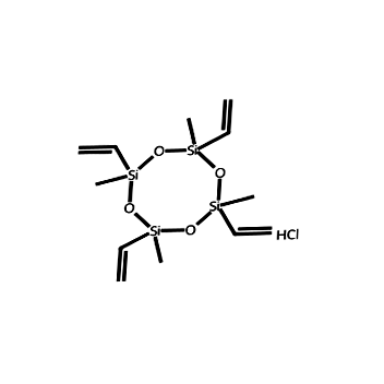 C=C[Si]1(C)O[Si](C)(C=C)O[Si](C)(C=C)O[Si](C)(C=C)O1.Cl